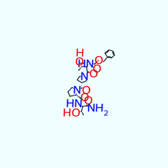 C[C@@H](O)[C@H](NC(=O)[C@H]1CCCN1C(=O)[C@@H]1CCN(C(=O)[C@@H](NC(=O)OCc2ccccc2)[C@@H](C)O)C1)C(N)=O